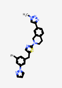 CC(C)c1cc(Cc2cnc(N3CCc4ccc(-c5cn(C)nn5)cc4C3)s2)cc(-n2cccn2)c1